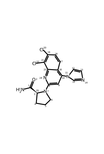 NC(=O)[C@@H]1CCCN1c1cc(-n2ccnc2)c2ccc(Cl)c(Cl)c2n1